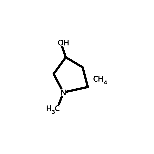 C.CN1CCC(O)C1